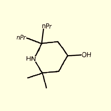 CCCC1(CCC)CC(O)CC(C)(C)N1